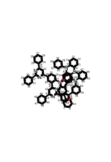 c1ccc(-c2ccc3c(c2)c2ccccc2n3-c2ccc(-c3cc(-c4ccccc4)nc(-c4ccccc4)n3)cc2-c2cc(-c3ccccc3)nc(-c3cccc(-c4cccc(N5c6ccccc6B6c7ccccc7N(c7ccccc7)c7cccc5c76)c4)c3)n2)cc1